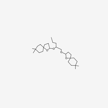 CCCC(COC1CCC2(CCC(C)(C)CC2)O1)OC1CCC2(CCC(C)(C)CC2)O1